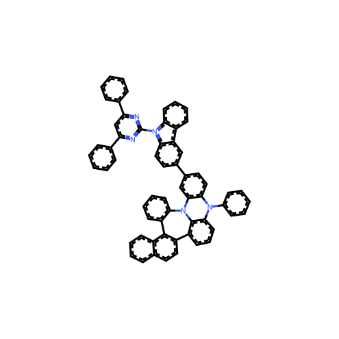 c1ccc(-c2cc(-c3ccccc3)nc(-n3c4ccccc4c4cc(-c5ccc6c(c5)N5c7ccccc7-c7c(ccc8ccccc78)-c7cccc(c75)N6c5ccccc5)ccc43)n2)cc1